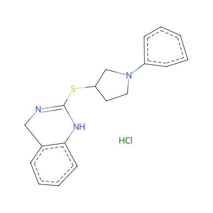 Cl.c1ccc(N2CCC(SC3=NCc4ccccc4N3)C2)cc1